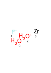 O.[F-].[OH3+].[Zr]